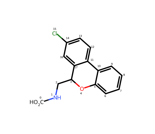 O=C(O)NCC1Oc2ccccc2-c2ccc(Cl)cc21